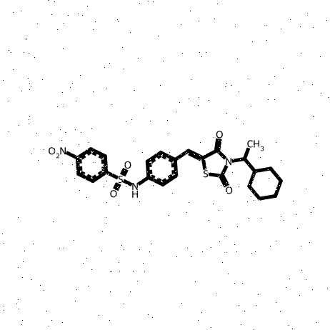 CC(C1CCCCC1)N1C(=O)S/C(=C\c2ccc(NS(=O)(=O)c3ccc([N+](=O)[O-])cc3)cc2)C1=O